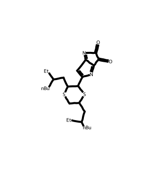 CCCCC(CC)CC1CSC(CC(CC)CCCC)C(c2cc3nc(=O)c(=O)c-3n2)S1